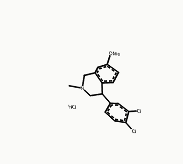 COc1ccc2c(c1)CN(C)CC2c1ccc(Cl)c(Cl)c1.Cl